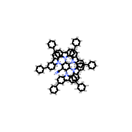 N#Cc1c(-n2c3ccc(-c4ccccc4)cc3c3cc(-c4ccccc4)ccc32)c(-n2c3ccccc3c3ccccc32)c(-n2c3ccc(-c4ccccc4)cc3c3cc(-c4ccccc4)ccc32)c(-n2c3ccccc3c3ccccc32)c1-n1c2ccc(-c3ccccc3)cc2c2cc(-c3ccccc3)ccc21